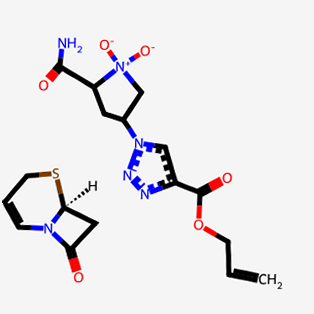 C=CCOC(=O)c1cn(C2CC(C(N)=O)[N+]([O-])([O-])C2)nn1.O=C1C[C@@H]2SCC=CN12